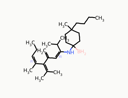 BC1(N/C(=C/C(=C)C(=C(C)C)/C(C)=C\CC)C(C)C)CCC(C)(CCCC)CC1